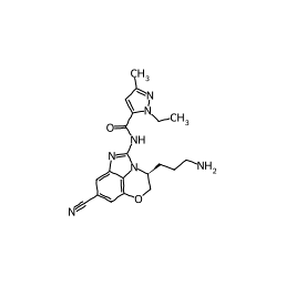 CCn1nc(C)cc1C(=O)Nc1nc2cc(C#N)cc3c2n1[C@@H](CCCN)CO3